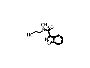 CN(CCO)C(=O)c1noc2ccccc12